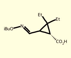 CCC1(CC)C(/C=N/OCC(C)C)[C@H]1C(=O)O